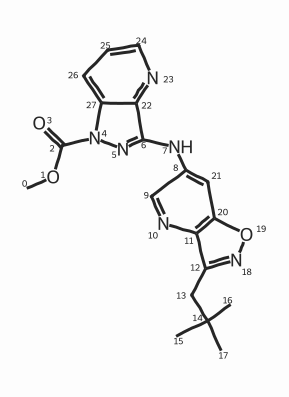 COC(=O)n1nc(Nc2cnc3c(CC(C)(C)C)noc3c2)c2ncccc21